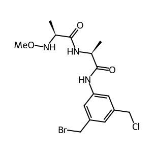 CON[C@@H](C)C(=O)N[C@@H](C)C(=O)Nc1cc(CCl)cc(CBr)c1